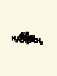 CCOC(=O)Nc1ccc(C(C)(C)C)c(F)c1F